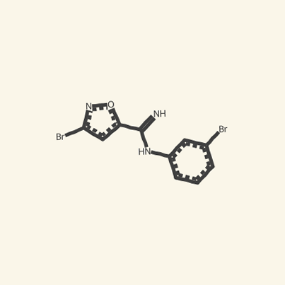 N=C(Nc1cccc(Br)c1)c1cc(Br)no1